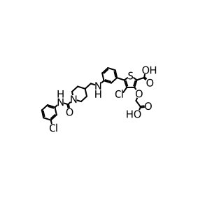 O=C(O)COc1c(C(=O)O)sc(-c2cccc(NCC3CCN(C(=O)Nc4cccc(Cl)c4)CC3)c2)c1Cl